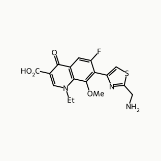 CCn1cc(C(=O)O)c(=O)c2cc(F)c(-c3csc(CN)n3)c(OC)c21